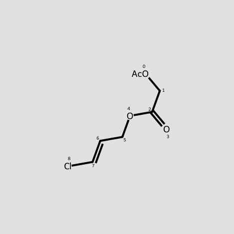 CC(=O)OCC(=O)OCC=CCl